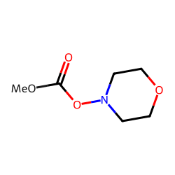 COC(=O)ON1CCOCC1